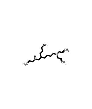 C=CCNCC(CCCN)CCCCN(CC=C)CC=C